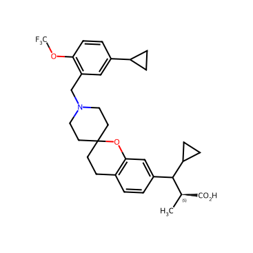 C[C@H](C(=O)O)C(c1ccc2c(c1)OC1(CC2)CCN(Cc2cc(C3CC3)ccc2OC(F)(F)F)CC1)C1CC1